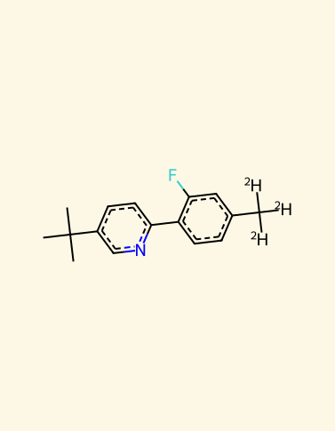 [2H]C([2H])([2H])c1ccc(-c2ccc(C(C)(C)C)cn2)c(F)c1